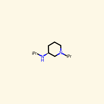 CC(C)N[C@H]1CCCN(C(C)C)C1